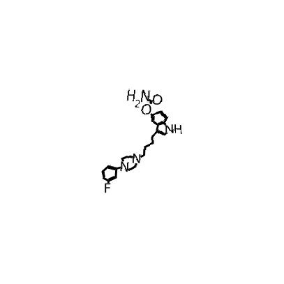 NC(=O)Oc1ccc2[nH]cc(CCCCN3CCN(c4cccc(F)c4)CC3)c2c1